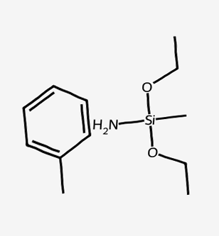 CCO[Si](C)(N)OCC.Cc1ccccc1